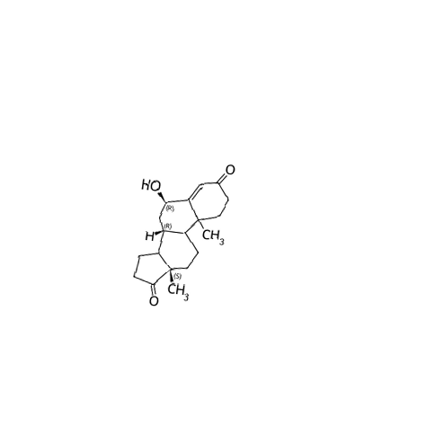 CC12CCC(=O)C=C1[C@H](O)C[C@@H]1C2CC[C@]2(C)C(=O)CCC12